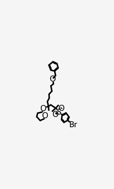 CC(CCCCCCOCc1ccccc1)(CC(C)(C)S(=O)(=O)c1ccc(Br)cc1)OC1CCCCO1